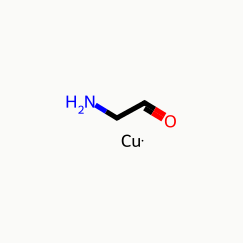 NCC=O.[Cu]